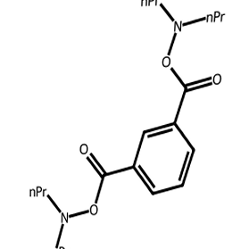 CCCN(CCC)OC(=O)c1cccc(C(=O)ON(CCC)CCC)c1